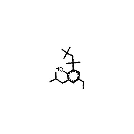 CCc1cc(CC(C)C)c(O)c(C(C)(C)CC(C)(C)C)c1